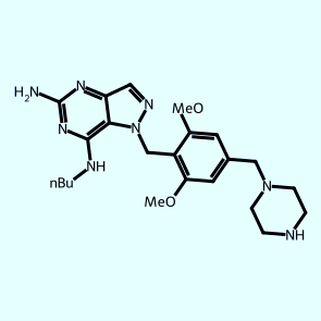 CCCCNc1nc(N)nc2cnn(Cc3c(OC)cc(CN4CCNCC4)cc3OC)c12